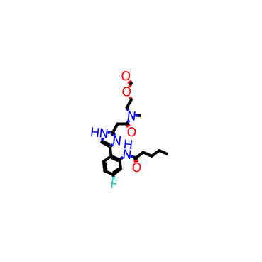 CCCCC(=O)Nc1cc(F)ccc1-c1c[nH]c(CC(=O)N(C)CCOC=O)n1